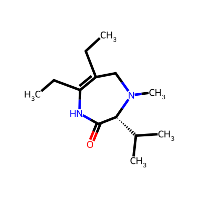 CCC1=C(CC)NC(=O)[C@@H](C(C)C)N(C)C1